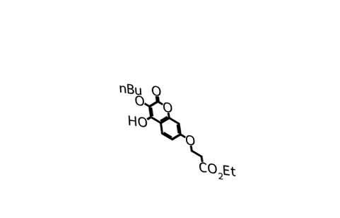 CCCCOc1c(O)c2ccc(OCCC(=O)OCC)cc2oc1=O